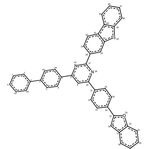 c1ccc(-c2ccc(-c3cc(-c4ccc(-c5cc6ccccc6o5)cc4)nc(-c4ccc5c(c4)sc4ccccc45)n3)cc2)cc1